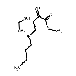 C=C(CCNCCCC)C(=O)OC.[CH2]CN